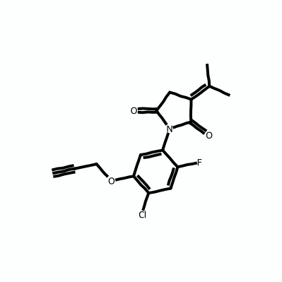 C#CCOc1cc(N2C(=O)CC(=C(C)C)C2=O)c(F)cc1Cl